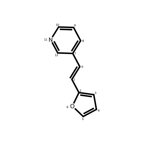 C(=Cc1ccco1)c1cccnc1